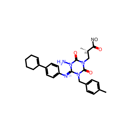 Cc1ccc(Cn2c(=O)n(C[C@H](C)C(=O)N=O)c(=O)n(N)/c2=N\c2ccc(C3=CCCCC3)cc2)cc1